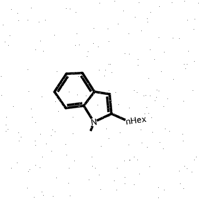 CCCCCCc1cc2ccccc2n1C